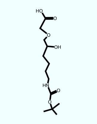 CC(C)(C)OC(=O)NCCCCC(O)COCC(=O)O